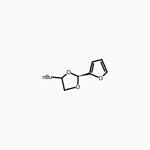 CCCCC1CO[C@H](c2ccco2)O1